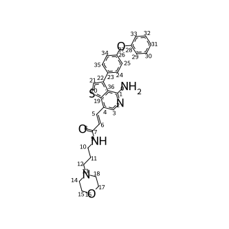 Nc1ncc(/C=C/C(=O)NCCCN2CCOCC2)c2scc(-c3ccc(Oc4ccccc4)cc3)c12